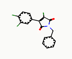 O=C1C(Cl)=C(c2ccc(Cl)c(Cl)c2)C(=O)N1Cc1ccccc1